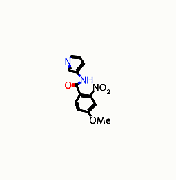 COc1ccc(C(=O)Nc2cccnc2)c([N+](=O)[O-])c1